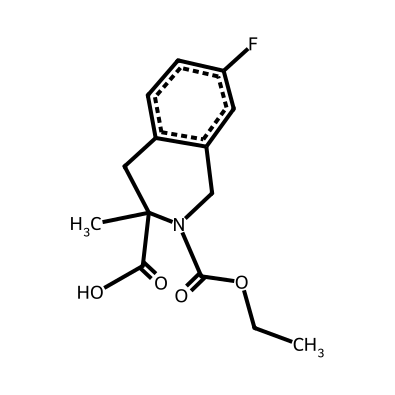 CCOC(=O)N1Cc2cc(F)ccc2CC1(C)C(=O)O